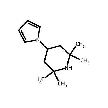 CC1(C)CC(n2cccc2)CC(C)(C)N1